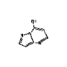 Oc1ccnc2ccnn12